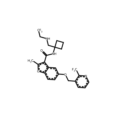 Cc1oc2ccc(OCc3cccnc3C(F)(F)F)cc2c1C(=O)NC1(CNCC(F)(F)F)CCC1